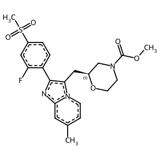 COC(=O)N1CCO[C@@H](Cc2c(-c3ccc(S(C)(=O)=O)cc3F)nc3cc(C)ccn23)C1